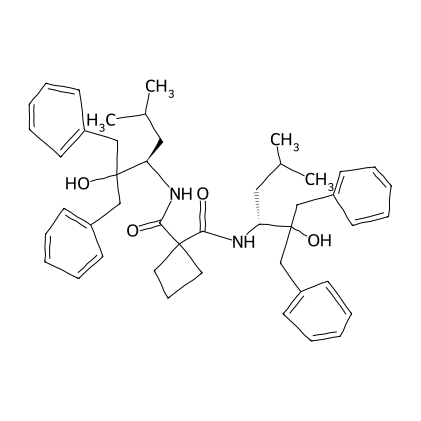 CC(C)C[C@@H](NC(=O)C1(C(=O)N[C@H](CC(C)C)C(O)(Cc2ccccc2)Cc2ccccc2)CCC1)C(O)(Cc1ccccc1)Cc1ccccc1